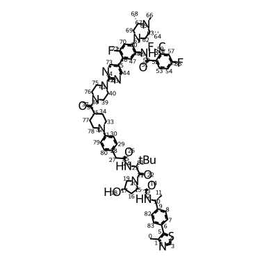 Cc1ncsc1-c1ccc([C@H](C)NC(=O)[C@@H]2C[C@@H](O)CN2C(=O)[C@@H](NC(=O)Cc2ccc(N3CCC(C(=O)N4CCN(c5ncc(-c6cc(NC(=O)c7ccc(F)cc7C(F)(F)F)c(N7C[C@@H](C)N(C)[C@@H](C)C7)cc6F)cn5)CC4)CC3)cc2)C(C)(C)C)cc1